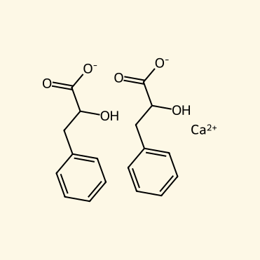 O=C([O-])C(O)Cc1ccccc1.O=C([O-])C(O)Cc1ccccc1.[Ca+2]